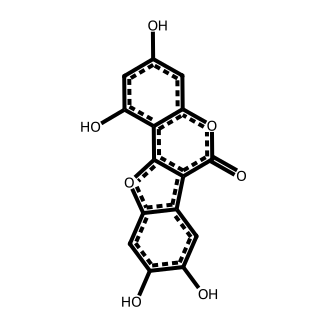 O=c1oc2cc(O)cc(O)c2c2oc3cc(O)c(O)cc3c12